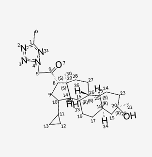 Cc1nnn(CC(=O)[C@H]2CC(C3CC3)[C@H]3[C@@H]4CC[C@@H]5C[C@](C)(O)CC[C@@H]5[C@H]4CC[C@]23C)n1